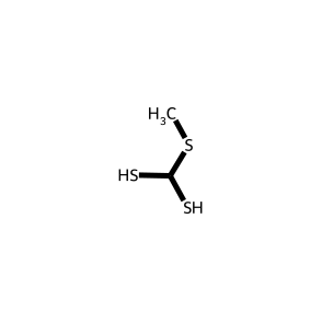 CSC(S)S